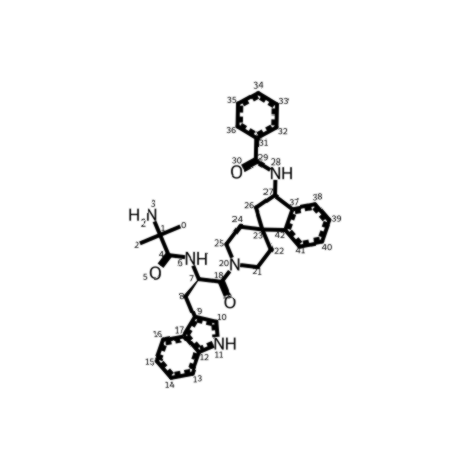 CC(C)(N)C(=O)N[C@H](Cc1c[nH]c2ccccc12)C(=O)N1CCC2(CC1)CC(NC(=O)c1ccccc1)c1ccccc12